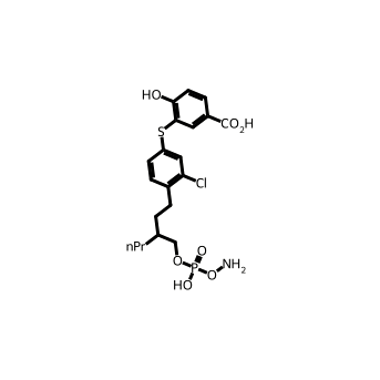 CCCC(CCc1ccc(Sc2cc(C(=O)O)ccc2O)cc1Cl)COP(=O)(O)ON